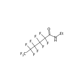 CCNC(=O)C(F)(F)C(F)(F)C(F)(F)C(F)(F)C(F)(F)F